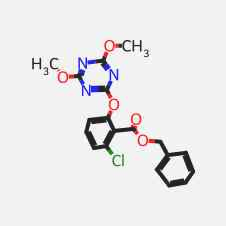 COc1nc(OC)nc(Oc2cccc(Cl)c2C(=O)OCc2ccccc2)n1